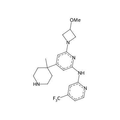 COC1CN(c2cc(C3(C)CCNCC3)cc(Nc3cc(C(F)(F)F)ccn3)n2)C1